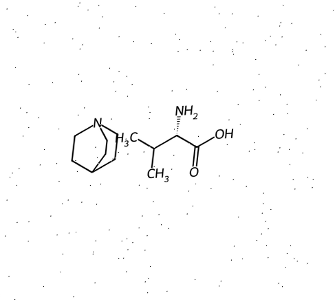 C1CN2CCC1CC2.CC(C)[C@H](N)C(=O)O